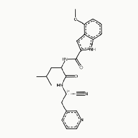 COc1cccc2[nH]c(C(=O)NC(CC(C)C)C(=O)N[C@H](C#N)Cc3cccnc3)cc12